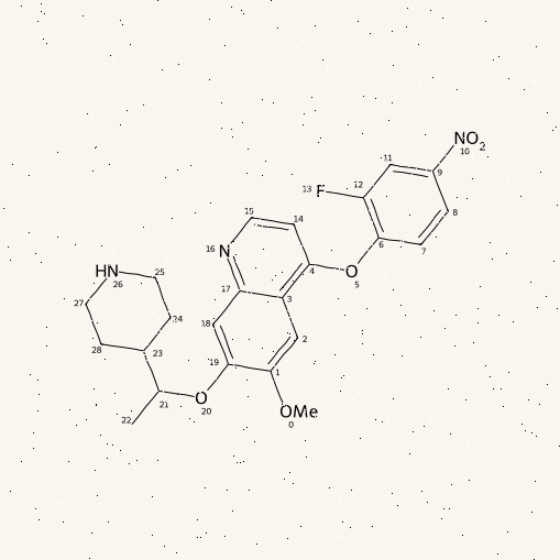 COc1cc2c(Oc3ccc([N+](=O)[O-])cc3F)ccnc2cc1OC(C)C1CCNCC1